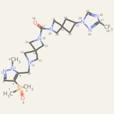 Cn1ncc(P(C)(C)=O)c1CN1CC2(C1)CN(C(=O)N1CC3(CC(n4cnc(C(F)(F)F)n4)C3)C1)C2